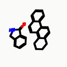 O=C1NCc2ccccc21.c1ccc2c(c1)ccc1c3c(ccc12)CCCC3